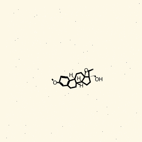 COc1ccc2c(c1)CC[C@@H]1[C@@H]2CC[C@@]2(C)[C@H]1CC[C@]2(CO)C(C)=O